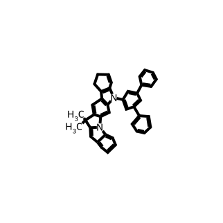 CC1(C)c2cc3c4c(n(-c5cc(-c6ccccc6)cc(-c6ccccc6)c5)c3cc2-n2c1cc1ccccc12)C=CCC4